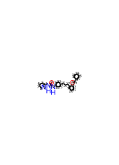 O=C(NCc1ccccn1)Nc1ccc(CCCc2ccccc2OCc2ccccc2)cc1